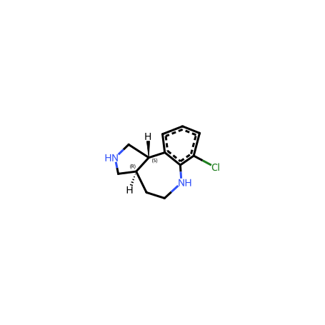 Clc1cccc2c1NCC[C@H]1CNC[C@H]21